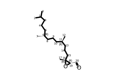 CC(C)CCC[C@@H](C)CCC[C@@H](C)CCC[C@@]1(C)O[C@H]1C=O